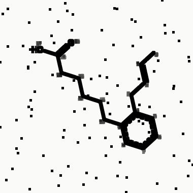 CC=CCc1ccccc1CCCCCC(=O)O